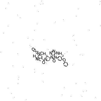 CC(C)(C=C(C#N)C(=O)N1CCC(n2c(=O)n(-c3ccc(Oc4ccccc4)cc3)c3c(N)ncnc32)CC1)N1CC2(COC2)C1